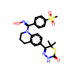 CC1(C)SC(=O)NN=C1c1ccc2c(c1)CCCN2/C(=N\O)c1ccc(S(C)(=O)=O)cc1